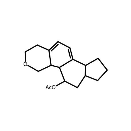 CC(=O)OC1CC2CCCC2C2=CC=C3CCOCC3C21